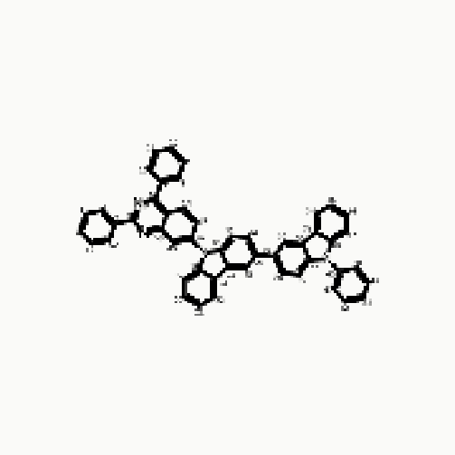 c1ccc(-c2nc(-c3ccccc3)c3ccc(-n4c5ccccc5c5cc(-c6ccc7c(c6)c6ccccc6n7-c6ccccc6)ccc54)cc3n2)cc1